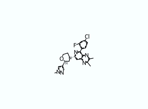 Cc1nc2cc([C@H]3CCO[C@H](c4cnn(C)c4)C3)nc(-c3ccc(Cl)cc3F)c2nc1C